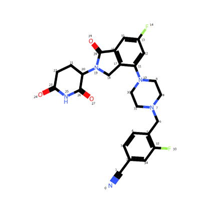 N#Cc1ccc(CN2CCN(c3cc(F)cc4c3CN(C3CCC(=O)NC3=O)C4=O)CC2)c(F)c1